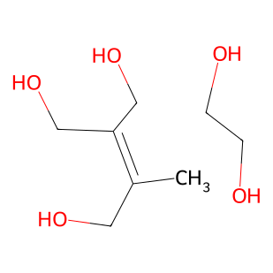 CC(CO)=C(CO)CO.OCCO